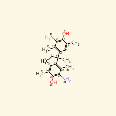 CCC(C)(c1cc(C)c(O)c(N)c1C)c1cc(C)c(O)c(N)c1C